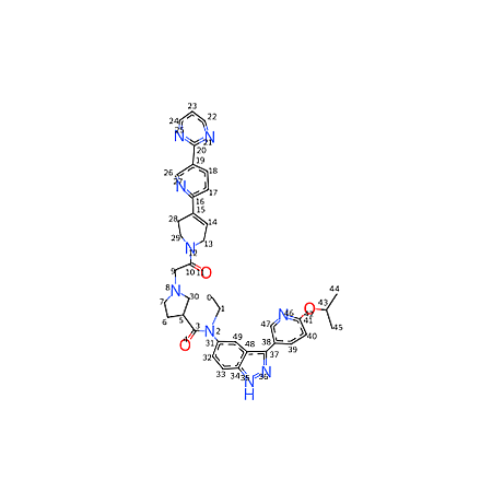 CCN(C(=O)C1CCN(CC(=O)N2CC=C(c3ccc(-c4ncccn4)cn3)CC2)C1)c1ccc2[nH]nc(-c3ccc(OC(C)C)nc3)c2c1